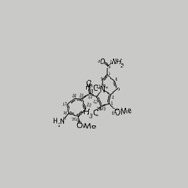 COC1=C2C=CC(C(N)=O)=C[N+]2(C)C(C(=O)c2ccc(N)c(OC)c2)=C1C